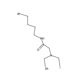 CC(C)CCCCNC(=O)CN(CI)CC(C)C